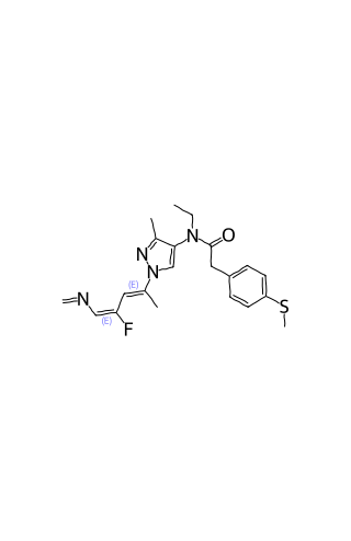 C=N/C=C(F)\C=C(/C)n1cc(N(CC)C(=O)Cc2ccc(SC)cc2)c(C)n1